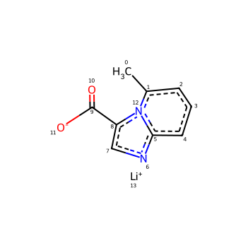 Cc1cccc2ncc(C(=O)[O-])n12.[Li+]